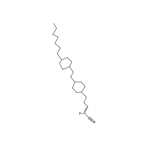 CCCCCCCC1CCC(CCC2CCC(CCC=C(F)C#N)CC2)CC1